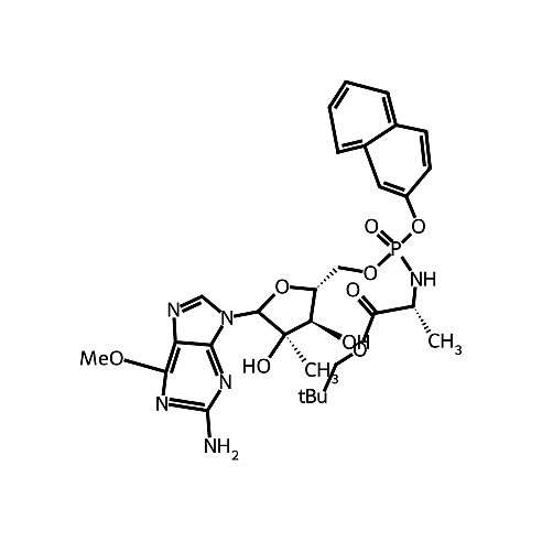 COc1nc(N)nc2c1ncn2C1O[C@H](COP(=O)(N[C@H](C)C(=O)OCC(C)(C)C)Oc2ccc3ccccc3c2)[C@@H](O)[C@@]1(C)O